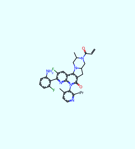 C=CC(=O)N1CC2Cc3c(c4cc(F)c(-c5c(N)cccc5F)nc4n(-c4c(C)ccnc4C(C)C)c3=O)N2CC1C